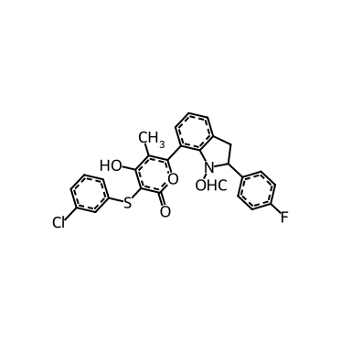 Cc1c(-c2cccc3c2N(C=O)C(c2ccc(F)cc2)C3)oc(=O)c(Sc2cccc(Cl)c2)c1O